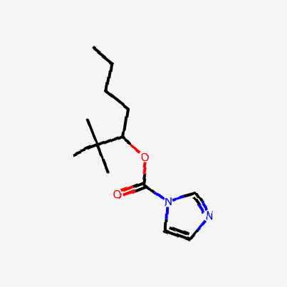 CCCCC(OC(=O)n1ccnc1)C(C)(C)C